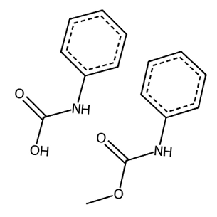 COC(=O)Nc1ccccc1.O=C(O)Nc1ccccc1